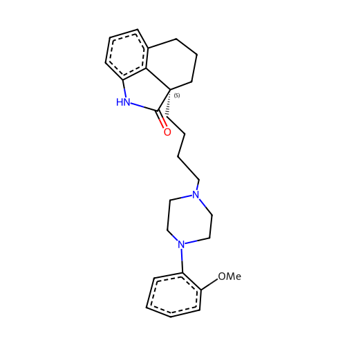 COc1ccccc1N1CCN(CCCC[C@@]23CCCc4cccc(c42)NC3=O)CC1